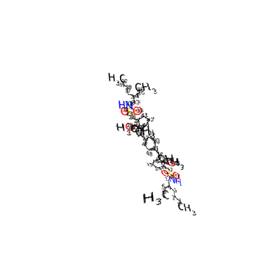 CCCCC(CC)CNS(=O)(=O)CC12CCC(/C(=C\c3ccc(/C=C4/C(=O)C5(CS(=O)(=O)NCC(CC)CCCC)CCC4C5(C)C)cc3)C1=O)C2(C)C